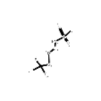 CS(=O)(=O)NSOOC(F)(F)F